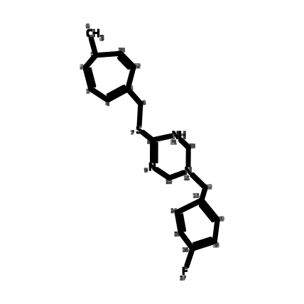 CC1C=CC=C(CSC2=NCN(Cc3ccc(F)cc3)CN2)C=C1